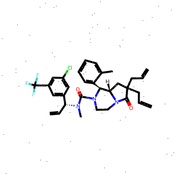 C=CCC1(CC=C)C[C@H]2[C@H](c3ccccc3C)N(C(=O)N(C)[C@H](C=C)c3cc(Cl)cc(C(F)(F)F)c3)CCN2C1=O